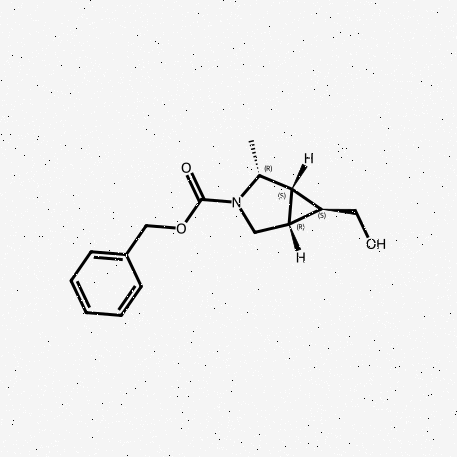 C[C@@H]1[C@@H]2[C@@H](CO)[C@@H]2CN1C(=O)OCc1ccccc1